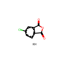 O=C1OC(=O)c2cc(Cl)ccc21.[KH]